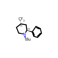 CC(C)(C)N1CC[C@H](C(F)(F)F)C[C@H]1c1ccccc1